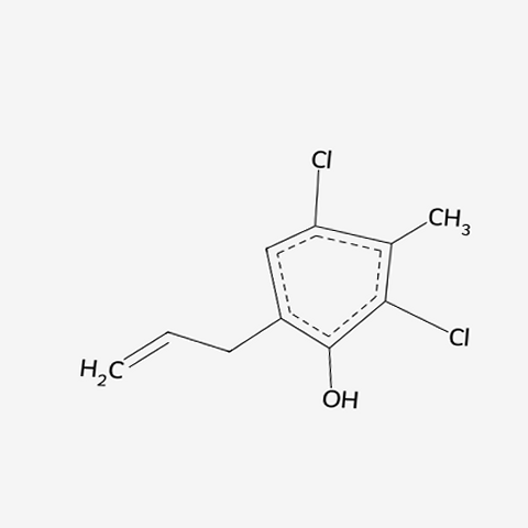 C=CCc1cc(Cl)c(C)c(Cl)c1O